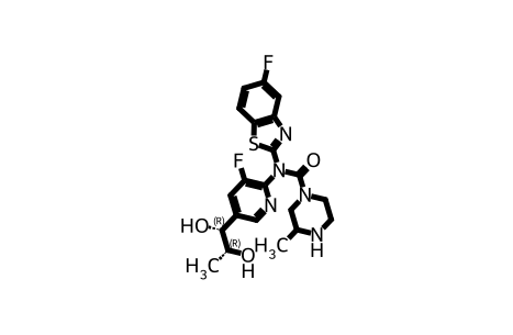 CC1CN(C(=O)N(c2nc3cc(F)ccc3s2)c2ncc([C@@H](O)[C@@H](C)O)cc2F)CCN1